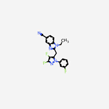 CCn1c(Cc2c(F)c(F)nn2-c2cccc(F)c2)nc2cc(C#N)ccc21